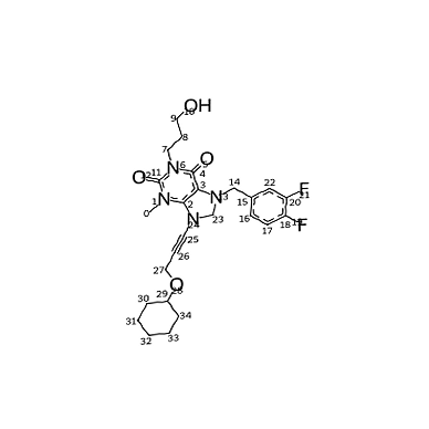 Cn1c2c(c(=O)n(CCCO)c1=O)N(Cc1ccc(F)c(F)c1)CN2C#CCOC1CCCCC1